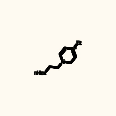 CCCCCCCCN1C=C[N+](CC)=CC1